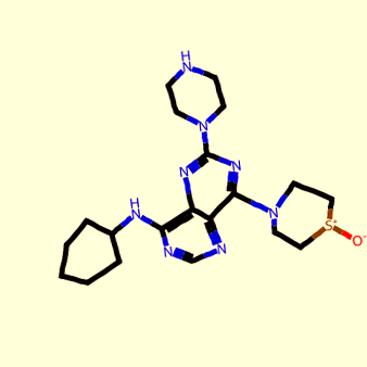 [O-][S+]1CCN(c2nc(N3CCNCC3)nc3c(NC4CCCCC4)ncnc23)CC1